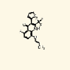 CCCOc1ccc(F)c2c(=O)c(-c3cccs3)c(C(F)(F)F)[nH]c12